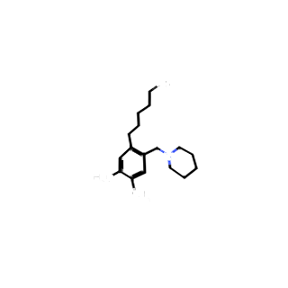 Cc1cc(CCCCCC#N)c(CN2CCCCC2)cc1C